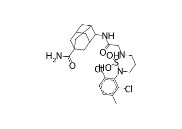 Cc1ccc(Cl)c(N2CCCN(CC(=O)NC3C4CC5CC3CC(C(N)=O)(C5)C4)S2(O)O)c1Cl